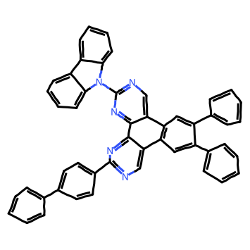 c1ccc(-c2ccc(-c3ncc4c5cc(-c6ccccc6)c(-c6ccccc6)cc5c5cnc(-n6c7ccccc7c7ccccc76)nc5c4n3)cc2)cc1